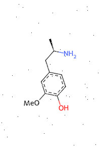 COc1cc(C[C@@H](C)N)ccc1O